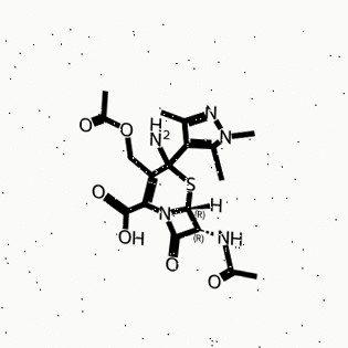 CC(=O)N[C@@H]1C(=O)N2C(C(=O)O)=C(COC(C)=O)C(N)(c3c(C)nn(C)c3C)S[C@H]12